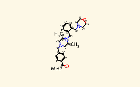 COC(=O)c1ccc(CN2C[C@@H](C)N(Cc3ccccc3CN3CCOCC3)[C@@H](C)C2)cc1